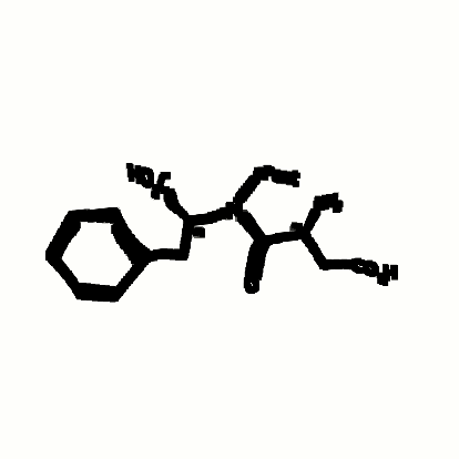 CCCCCN(C(=O)[C@@H](N)CC(=O)O)[C@@H](Cc1ccccc1)C(=O)O